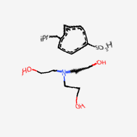 CC(C)c1ccc(S(=O)(=O)O)cc1.OCCN(CCO)CCO